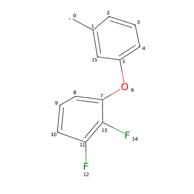 [CH2]c1cccc(Oc2cccc(F)c2F)c1